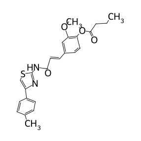 CCCC(=O)Oc1ccc(C=CC(=O)Nc2nc(-c3ccc(C)cc3)cs2)cc1OC